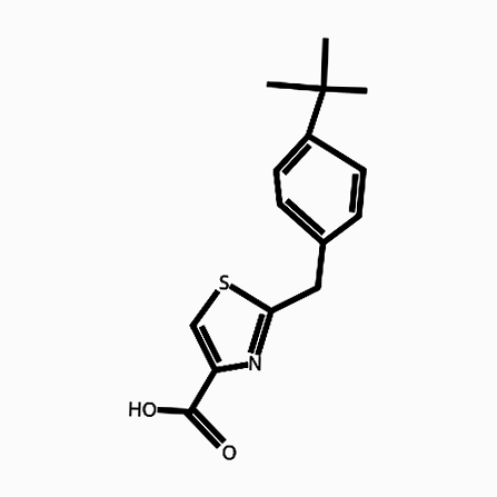 CC(C)(C)c1ccc(Cc2nc(C(=O)O)cs2)cc1